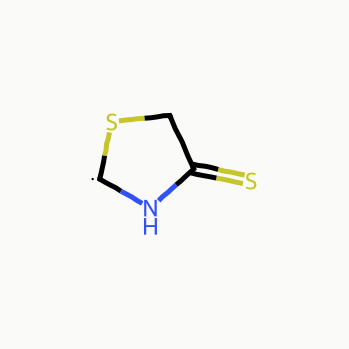 S=C1CS[CH]N1